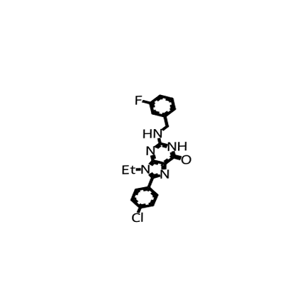 CCn1c(-c2ccc(Cl)cc2)nc2c(=O)[nH]c(NCc3cccc(F)c3)nc21